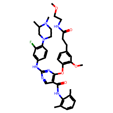 COCCNC(=O)CCc1ccc(Oc2nc(Nc3ccc(N4CCN(C)C(C)C4)c(F)c3)ncc2C(=O)Nc2c(C)cccc2C)c(OC)c1